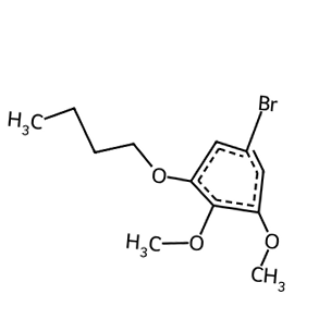 CCCCOc1cc(Br)cc(OC)c1OC